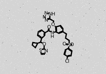 O=C(Nc1cc(CCCS(=O)(=O)c2ccc(Cl)cc2)ccc1OCc1nnn[nH]1)c1cccc(C(Oc2nccs2)C2CCC2)c1